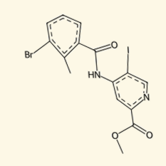 COC(=O)c1cc(NC(=O)c2cccc(Br)c2C)c(I)cn1